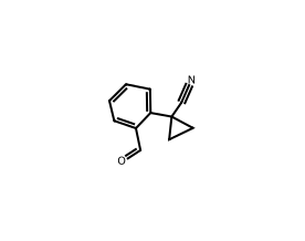 N#CC1(c2ccccc2C=O)CC1